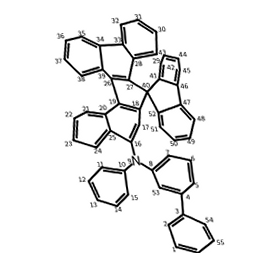 c1ccc(-c2cccc(N(c3ccccc3)c3cc4c(c5ccccc35)-c3c(c5ccccc5c5ccccc35)C43c4ccccc4-c4ccccc43)c2)cc1